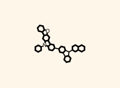 c1ccc(-n2c3ccc(-c4ccc5c(c4)-c4ccccc4C5c4ccc5ccccc5c4)cc3c3cc4oc5ccccc5c4cc32)cc1